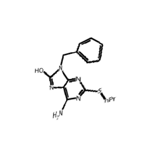 CCCSc1nc(N)c2nc(O)n(Cc3ccccc3)c2n1